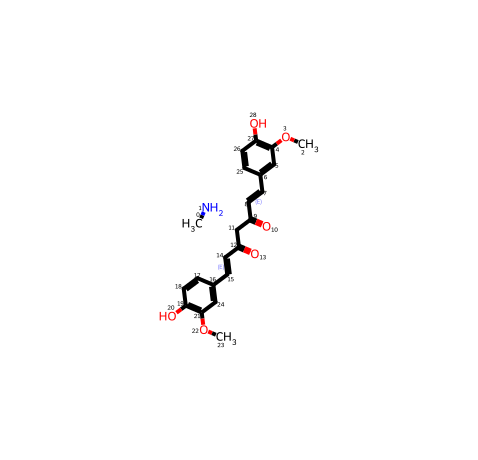 CN.COc1cc(/C=C/C(=O)CC(=O)/C=C/c2ccc(O)c(OC)c2)ccc1O